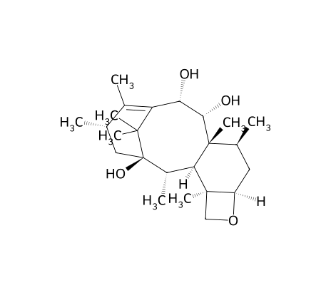 CC1=C2[C@H](O)[C@H](O)[C@@]3(C)[C@H]([C@H](C)[C@](O)(C[C@@H]1C)C2(C)C)[C@]1(C)CO[C@@H]1C[C@@H]3C